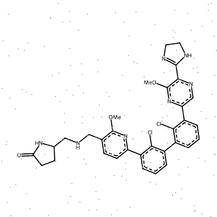 COc1nc(-c2cccc(-c3cccc(-c4cnc(C5=NCCN5)c(OC)n4)c3Cl)c2Cl)ccc1CNCC1CCC(=O)N1